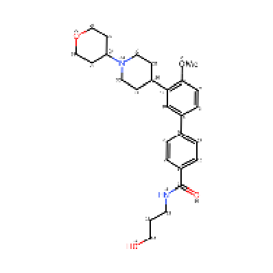 COc1ccc(-c2ccc(C(=O)NCCCO)cc2)cc1C1CCN(C2CCOCC2)CC1